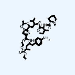 CCOP(=O)(OCC)C(C)CC(Cc1ccc(N)cc1)NC(=O)c1csc(C(CC(C(C)C)N(C)C(=O)C(NC(=O)[C@H]2CCCCN2C)C(C)CC)OC(C)=O)n1